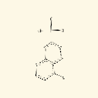 Clc1ccnc2cc(C(Cl)(Cl)Cl)ccc12